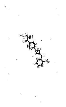 NNC(=O)c1ccc(N2CC(Cc3ccccc3CF)C2)nn1